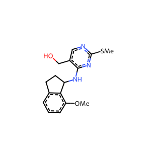 COc1cccc2c1C(Nc1nc(SC)ncc1CO)CC2